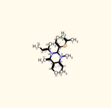 C=C(C)S/C(=C\C)C1N(C)C(=C/C)/C(=C\C)C(=C)N1/C(C)=C/C